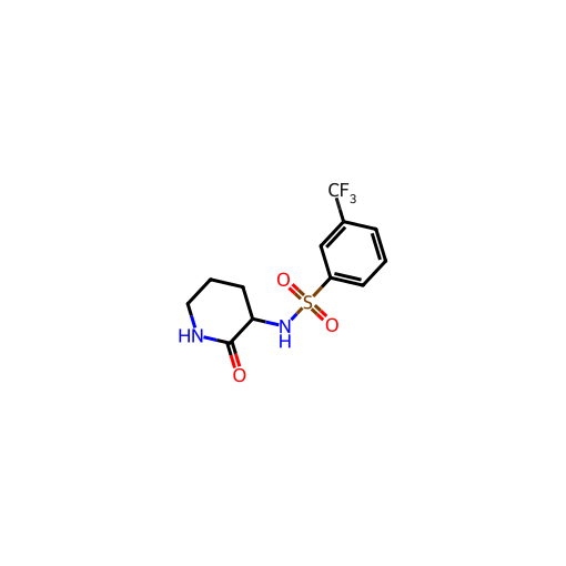 O=C1NCCCC1NS(=O)(=O)c1cccc(C(F)(F)F)c1